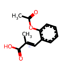 CC(=O)Oc1ccccc1/C=C(\C)C(=O)O